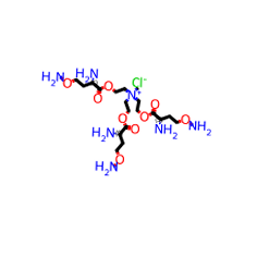 C[N+](CCOC(=O)[C@@H](N)CCON)(CCOC(=O)[C@@H](N)CCON)CCOC(=O)[C@@H](N)CCON.[Cl-]